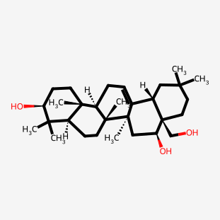 CC1(C)CC[C@]2(CO)[C@@H](O)C[C@]3(C)C(=CC[C@@H]4[C@@]5(C)CC[C@H](O)C(C)(C)[C@@H]5CC[C@]43C)[C@@H]2C1